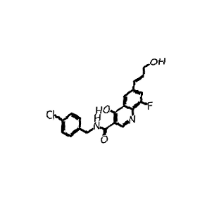 O=C(NCc1ccc(Cl)cc1)c1cnc2c(F)cc(C=CCO)cc2c1O